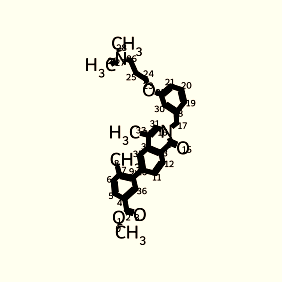 COC(=O)c1ccc(C)c(-c2ccc3c(=O)n(Cc4cccc(OCCCN(C)C)c4)cc(C)c3c2)c1